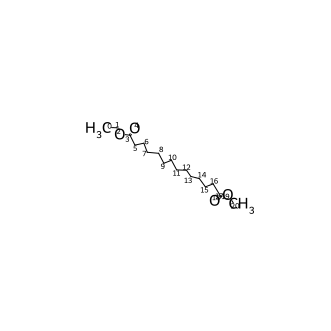 CCOC(=O)CCCCCCCCCCCCC(=O)OC